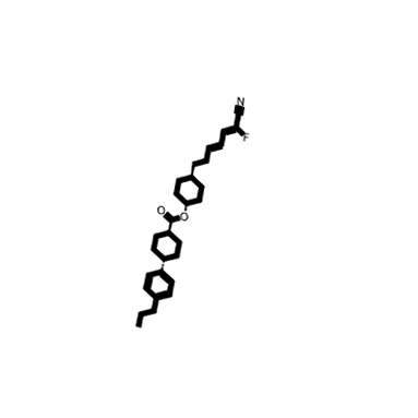 CCCc1ccc([C@H]2CC[C@H](C(=O)O[C@H]3CC[C@H](CCC=CC=C(F)C#N)CC3)CC2)cc1